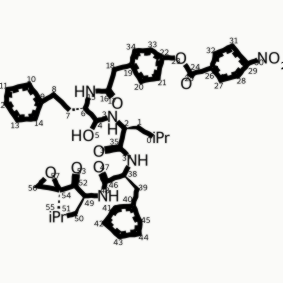 CC(C)C[C@H](NC(O)[C@H](CCc1ccccc1)NC(=O)Cc1ccc(OC(=O)c2ccc([N+](=O)[O-])cc2)cc1)C(=O)N[C@@H](Cc1ccccc1)C(=O)N[C@@H](CC(C)C)C(=O)[C@@]1(C)CO1